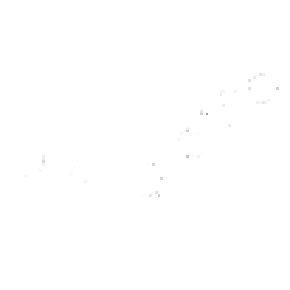 COc1cc(CC(=O)N2CCCC2COc2cccc(CC(=O)O)c2)ccc1NC(=O)Nc1ccccc1